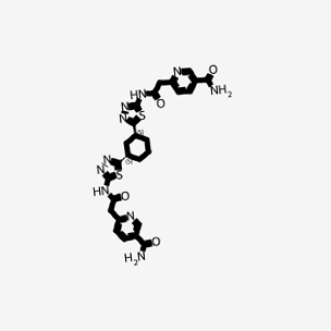 NC(=O)c1ccc(CC(=O)Nc2nnc([C@H]3CCC[C@H](c4nnc(NC(=O)Cc5ccc(C(N)=O)cn5)s4)C3)s2)nc1